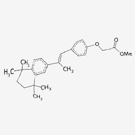 COC(=O)COc1ccc(/C=C(\C)c2ccc3c(c2)C(C)(C)CCC3(C)C)cc1